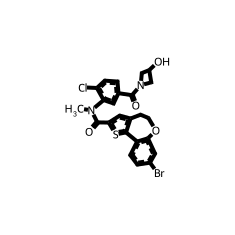 CN(C(=O)c1cc2c(s1)-c1ccc(Br)cc1OCC2)c1cc(C(=O)N2CC(O)C2)ccc1Cl